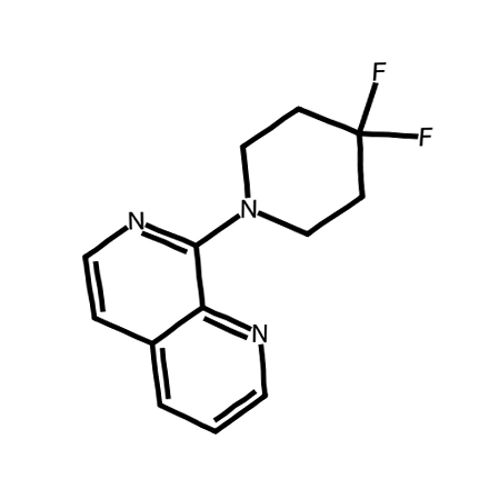 FC1(F)CCN(c2nccc3cccnc23)CC1